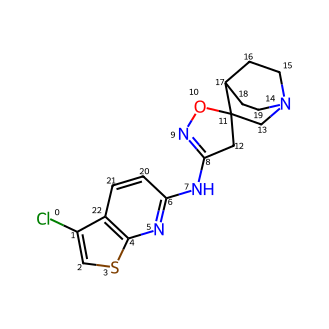 Clc1csc2nc(NC3=NOC4(C3)CN3CCC4CC3)ccc12